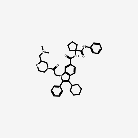 CN(C)CC1CN(C(=O)Cn2c(-c3ccccc3)c(C3CCCCC3)c3ccc(C(=O)NC4(C(=O)Nc5[c]cccc5)CCCC4)cc32)CCO1